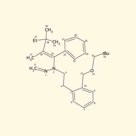 C=NN(CCc1ccccc1COCC(C)(C)C)/C(=C(\C)C(C)(C)CC)c1ccccc1